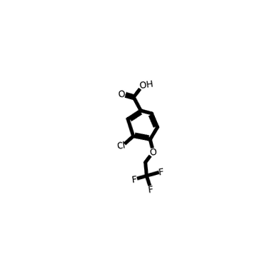 O=C(O)c1ccc(OCC(F)(F)F)c(Cl)c1